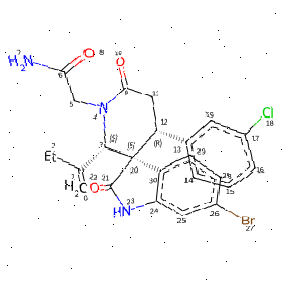 C=C(CC)[C@@H]1N(CC(N)=O)C(=O)C[C@H](c2cccc(Cl)c2)[C@@]12C(=O)Nc1cc(Br)ccc12